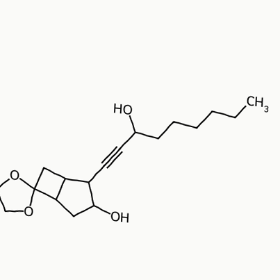 CCCCCCC(O)C#CC1C(O)CC2C1CC21OCCO1